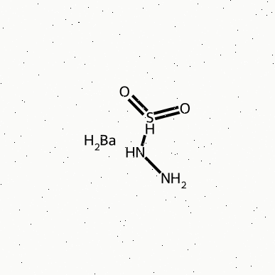 NN[SH](=O)=O.[BaH2]